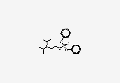 CC(C)N(CCOP(=O)(Oc1ccccc1)Oc1ccccc1)C(C)C